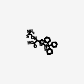 NC(=S)CO/N=C(\C(=O)O)c1csc(NC(c2ccccc2)(c2ccccc2)c2ccccc2)n1